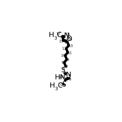 CSc1cnc(SCCCCCCCc2cc(C)no2)[nH]1